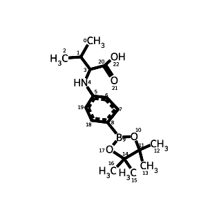 CC(C)C(Nc1ccc(B2OC(C)(C)C(C)(C)O2)cc1)C(=O)O